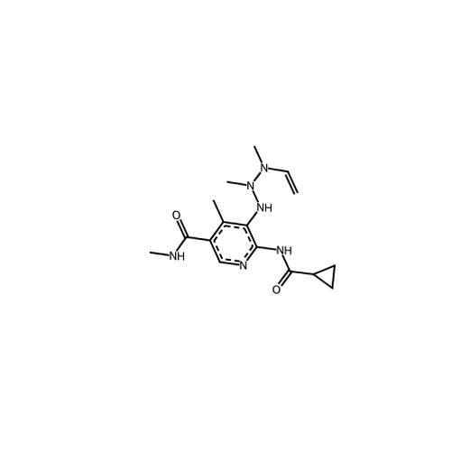 C=CN(C)N(C)Nc1c(NC(=O)C2CC2)ncc(C(=O)NC)c1C